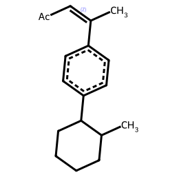 CC(=O)/C=C(/C)c1ccc(C2CCCCC2C)cc1